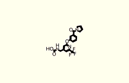 O=C(O)NCc1cc(Oc2cccc(C(=O)N3CC=CC3)c2)nc(C(F)(F)F)c1